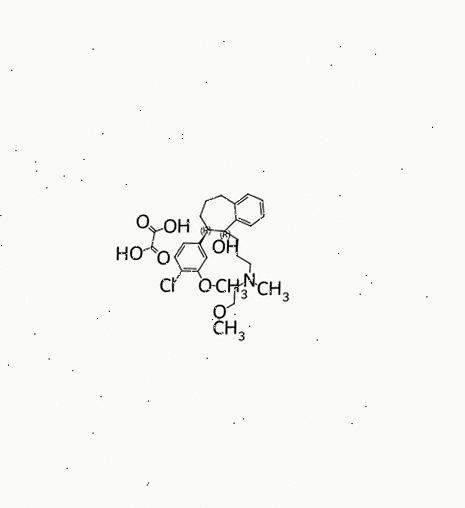 COCCN(C)CCC[C@]1(O)c2ccccc2CCC[C@@H]1c1ccc(Cl)c(OC)c1.O=C(O)C(=O)O